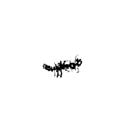 CC(C)(c1ccc(-c2ccccc2F)cc1)c1cc(NC(=N)NCCN2CCOCC2)on1